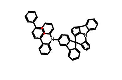 c1ccc(-c2ccc(-c3ccccc3N(c3ccccc3)c3ccc4c(c3)-c3ccccc3C43c4ccccc4-n4c5ccccc5c5cccc3c54)cc2)cc1